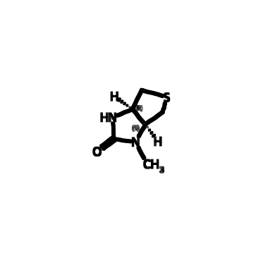 CN1C(=O)N[C@H]2CSC[C@H]21